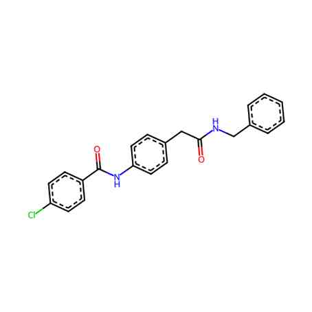 O=C(Cc1ccc(NC(=O)c2ccc(Cl)cc2)cc1)NCc1ccccc1